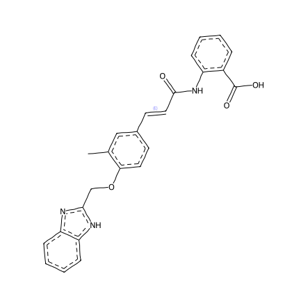 Cc1cc(/C=C/C(=O)Nc2ccccc2C(=O)O)ccc1OCc1nc2ccccc2[nH]1